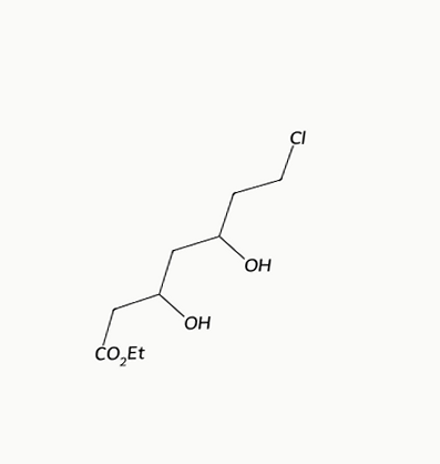 CCOC(=O)CC(O)CC(O)CCCl